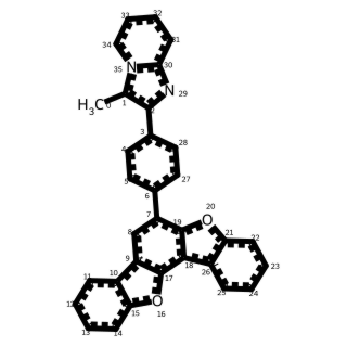 Cc1c(-c2ccc(-c3cc4c5ccccc5oc4c4c3oc3ccccc34)cc2)nc2ccccn12